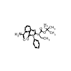 CCN(C(=O)OC(C)(C)C)c1nc2cccc(C(N)=O)c2c(=O)n1-c1ccccc1